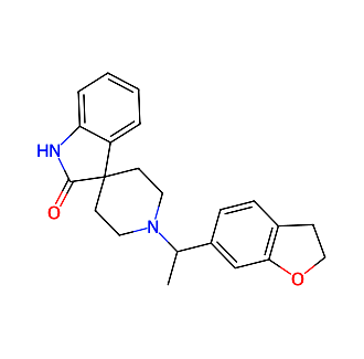 CC(c1ccc2c(c1)OCC2)N1CCC2(CC1)C(=O)Nc1ccccc12